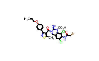 C=CCOc1ccc(-c2nsc(C)c2C(=O)N(Cc2cc(Cl)c(NC(=O)CBr)c(Cl)c2)C(=N)NC(=O)O)cc1